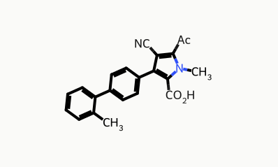 CC(=O)c1c(C#N)c(-c2ccc(-c3ccccc3C)cc2)c(C(=O)O)n1C